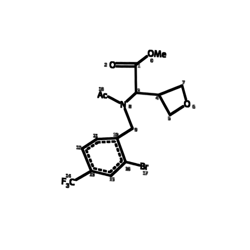 COC(=O)C(C1COC1)N(Cc1ccc(C(F)(F)F)cc1Br)C(C)=O